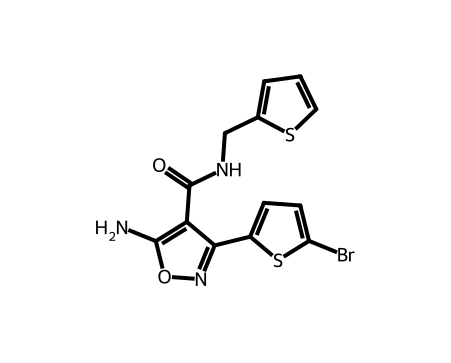 Nc1onc(-c2ccc(Br)s2)c1C(=O)NCc1cccs1